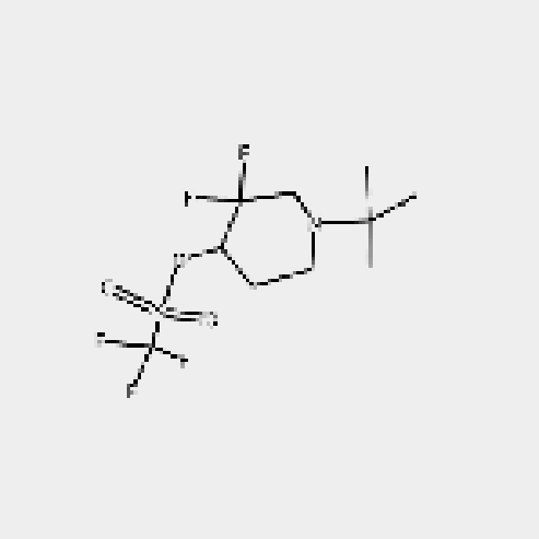 CC(C)(C)N1CCC(OS(=O)(=O)C(F)(F)F)C(F)(F)C1